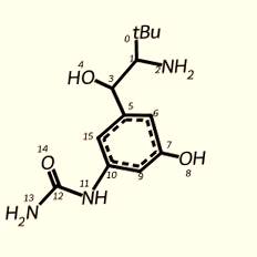 CC(C)(C)C(N)C(O)c1cc(O)cc(NC(N)=O)c1